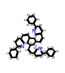 C(=C/C1CC(/C=C\c2ccc(-c3ccccc3)nc2)CC(/C=C\c2ccc(-c3ccccc3)nc2)C1)/c1ccc(-c2ccccc2)nc1